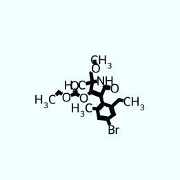 CCOC(=O)OC1=C(c2c(C)cc(Br)cc2CC)C(=O)NC1(C)COC